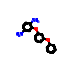 Nc1ccc(N)c(Oc2cccc(Oc3ccccc3)c2)c1